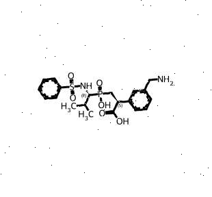 CC(C)[C@H](NS(=O)(=O)c1ccccc1)P(=O)(O)C[C@H](C(=O)O)c1cccc(CN)c1